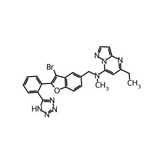 CCc1cc(N(C)Cc2ccc3oc(-c4ccccc4-c4nnn[nH]4)c(Br)c3c2)n2nccc2n1